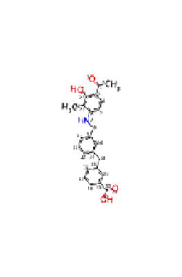 CC(=O)c1ccc(NCc2cccc(Cc3cccc(C(=O)O)c3)c2)c(C)c1O